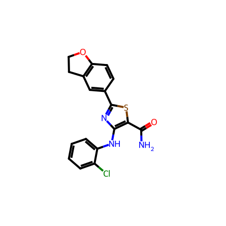 NC(=O)c1sc(-c2ccc3c(c2)CCO3)nc1Nc1ccccc1Cl